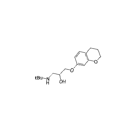 CC(C)(C)NCC(O)COc1ccc2c(c1)OCCC2